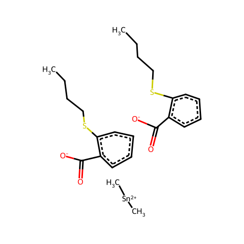 CCCCSc1ccccc1C(=O)[O-].CCCCSc1ccccc1C(=O)[O-].[CH3][Sn+2][CH3]